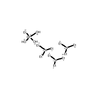 CCN(CC)CC.CCN(CC)CC.CCN(CC)CC.CC[PH](O)(O)O